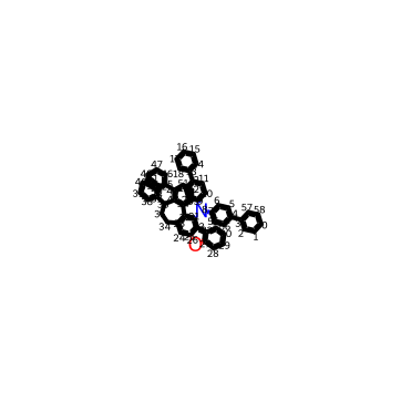 c1ccc(-c2ccc(N(c3ccc(-c4ccccc4)cc3)c3c4c(cc5oc6ccccc6c35)CCC(c3ccccc3)c3c(-c5ccccc5)cccc3-4)cc2)cc1